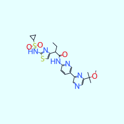 CCC(C(=O)Nc1ccc(-c2cncc(C(C)(C)OC)n2)cn1)c1csc(NS(=O)(=O)C2CC2)n1